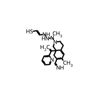 C=C(c1ccccn1)C12CC(C=N)=C(C)C=C1CCN(N(C)NN/C=C/S)C2